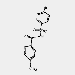 O=Cc1ccc(C(=O)NS(=O)(=O)c2ccc(Br)cc2)cc1